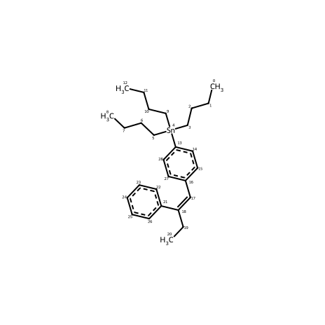 CCC[CH2][Sn]([CH2]CCC)([CH2]CCC)[c]1ccc(/C=C(/CC)c2ccccc2)cc1